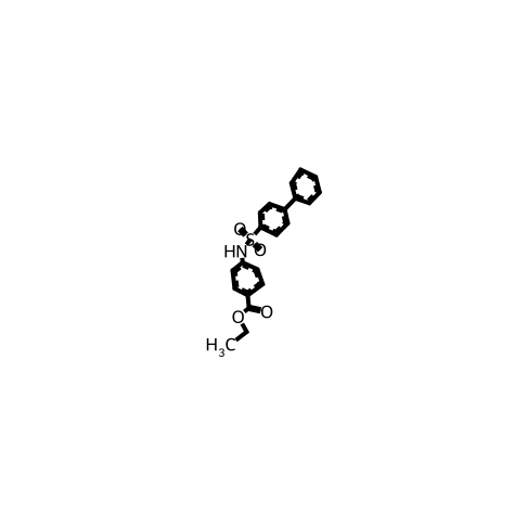 CCOC(=O)c1ccc(NS(=O)(=O)c2ccc(-c3ccccc3)cc2)cc1